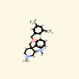 CC(=O)N1CCC(COCc2cc(C(F)(F)F)cc(C(F)(F)F)c2)(c2ccccc2)C(N(C)C)C1